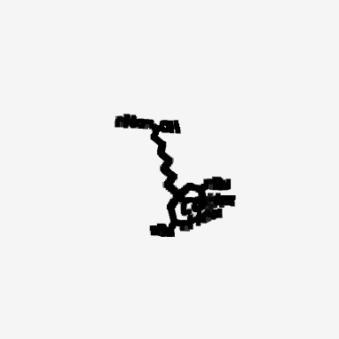 CCCCCCCCCC(O)CCCCCCCC(CC(CCCC)CCCCCC)(CC(CCCC)CCCCCC)C(=O)O